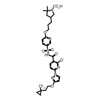 CC1(C)CC(CCCOc2ccc(S(=O)(=O)NC(=O)c3ccc(-n4ccc(OCCC5(C(F)(F)F)CC5)n4)nc3Cl)cn2)CN1C(=O)O